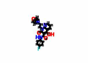 O=C(NC1CCC(F)CC1)c1c(O)c2cccnc2n(CCN2C3COCC2C3)c1=O